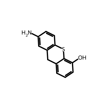 Nc1ccc2c(c1)Cc1cccc(O)c1S2